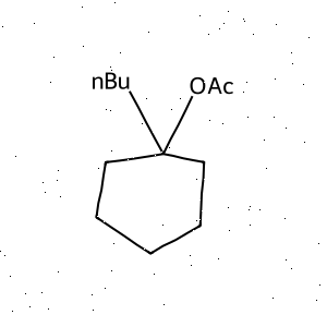 CCCCC1(OC(C)=O)CCCCC1